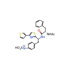 CC(=O)N[C@@H](Cc1ccccc1)C(=O)N[C@@H](Cc1ccc(NS(=O)(=O)O)cc1)c1nc(-c2ccsc2)cs1